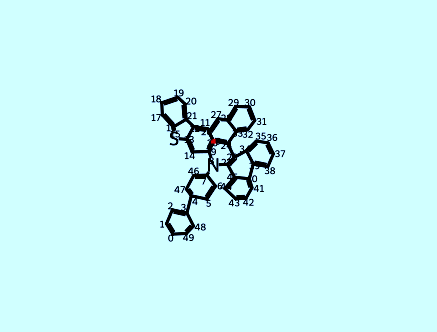 c1ccc(-c2ccc(N(c3ccc4c(c3)sc3ccccc34)c3c(-c4cccc5ccccc45)c4ccccc4c4ccccc34)cc2)cc1